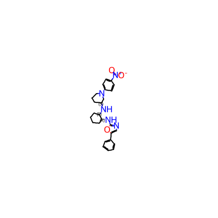 O=[N+]([O-])c1ccc(N2CCC[C@H](N[C@@H]3CCCC[C@H]3Nc3ncc(-c4ccccc4)o3)C2)cc1